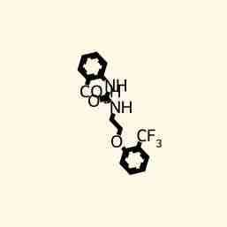 O=C(NCCOc1ccccc1C(F)(F)F)Nc1ccccc1C(=O)O